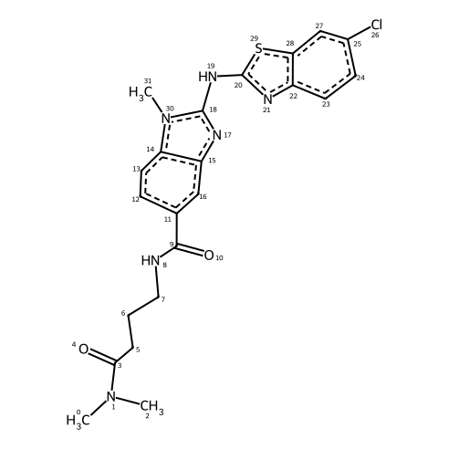 CN(C)C(=O)CCCNC(=O)c1ccc2c(c1)nc(Nc1nc3ccc(Cl)cc3s1)n2C